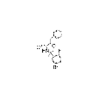 CC1(c2cc(Br)ccc2F)COC(Cc2ccccc2)C(C=O)N1